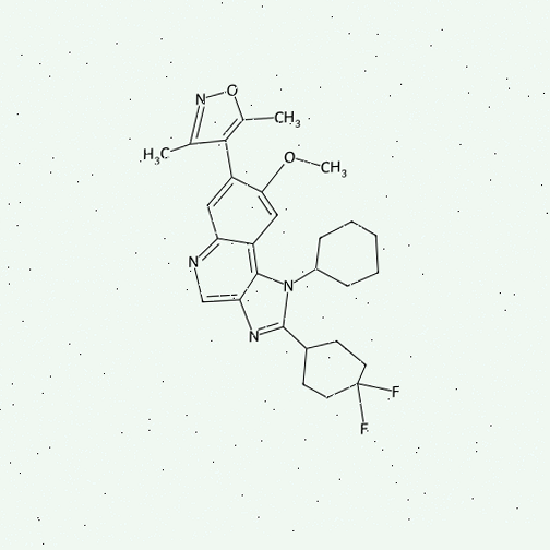 COc1cc2c(cc1-c1c(C)noc1C)ncc1nc(C3CCC(F)(F)CC3)n(C3CCCCC3)c12